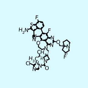 CC(C)[C@@H]1[C@H](CN2CCOc3c(Cl)c(-c4ccc(F)c5sc(N)c(C#N)c45)c(F)c4nc(OC[C@@]56CCCN5C[C@H](F)C6)nc2c34)CN1C(=O)n1cnc(Cl)n1